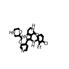 CCc1c(Cl)cccc1Nc1c(-c2ccncc2OCC2CNCCO2)[nH]c2c1C(=O)NCC2